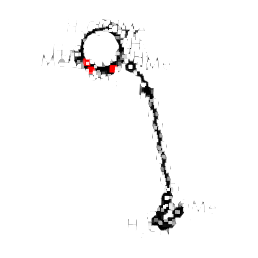 COC(=O)N[C@H]1C[C@@H]2CC[C@@H](C)[C@@](O)(O2)C(=O)C(=O)N2CCCC[C@H]2C(=O)O[C@H]([C@H](N)C[C@@H]2CC[C@@H](OCCCCc3cn(CCOCCOCCOCCOCCOCCOCCOCCOCCC(=O)N4CCN(c5ccc(-n6c(=O)n(C)c7cnc8ccc(-c9ccc(OC)nc9)cc8c76)cc5C(F)(F)F)CC4)nn3)[C@H](OC)C2)CC(=O)[C@H](C)/C=C(\C)[C@@H](O)[C@@H](OC)C(=O)[C@H](C)C[C@H](C)/C=C/C=C/C=C/1C